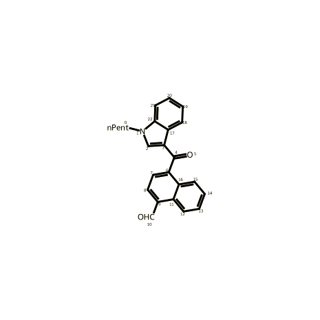 CCCCCn1cc(C(=O)c2ccc(C=O)c3ccccc23)c2ccccc21